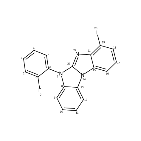 Fc1ccccc1-n1c2ccccc2n2c3cccc(I)c3nc12